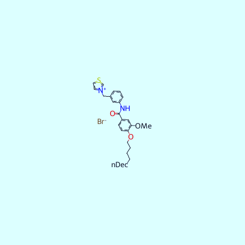 CCCCCCCCCCCCCCOc1ccc(C(=O)Nc2cccc(C[n+]3ccsc3)c2)cc1OC.[Br-]